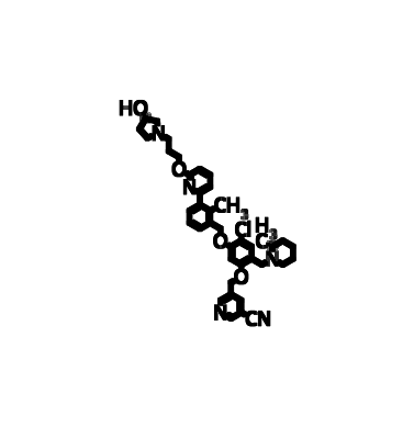 Cc1c(COc2cc(OCc3cncc(C#N)c3)c(CN3CCCC[C@H]3C)cc2Cl)cccc1-c1cccc(OCCCN2CC[C@@H](O)C2)n1